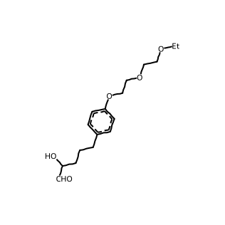 CCOCCOCCOc1ccc(CCCC(O)C=O)cc1